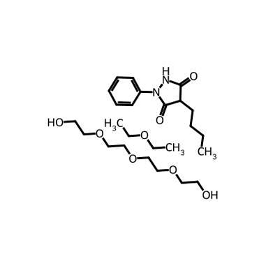 CCCCC1C(=O)NN(c2ccccc2)C1=O.CCOCC.OCCOCCOCCOCCO